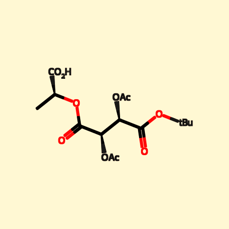 CC(=O)O[C@@H](C(=O)O[C@@H](C)C(=O)O)[C@@H](OC(C)=O)C(=O)OC(C)(C)C